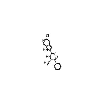 C[C@H](NC(=O)c1cc2cc(Cl)ncc2[nH]1)C(=O)c1ccccc1